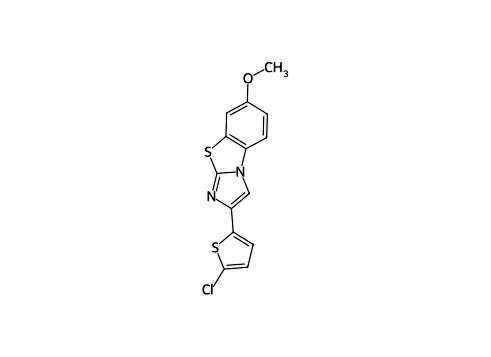 COc1ccc2c(c1)sc1nc(-c3ccc(Cl)s3)cn12